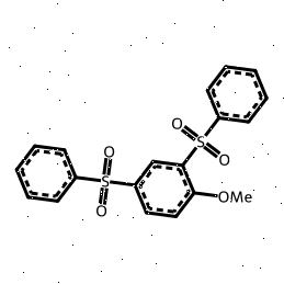 COc1ccc(S(=O)(=O)c2ccccc2)cc1S(=O)(=O)c1ccccc1